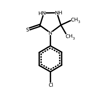 CC1(C)NNC(=S)N1c1ccc(Cl)cc1